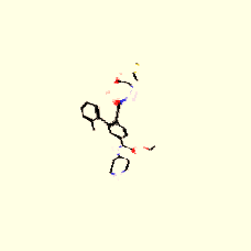 CCOC(=O)C(NC1CCNCC1)c1ccc(C(=O)N[C@@H](CCSC)C(=O)O)c(-c2ccccc2C)c1.[Li]